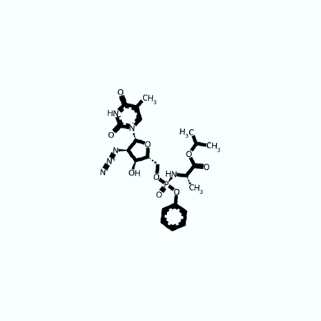 Cc1cn([C@@H]2O[C@H](CO[P@](=O)(N[C@@H](C)C(=O)OC(C)C)Oc3ccccc3)[C@@H](O)[C@H]2N=[N+]=[N-])c(=O)[nH]c1=O